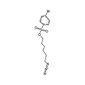 [N-]=[N+]=NCCCCCCOS(=O)(=O)c1ccc(Br)cc1